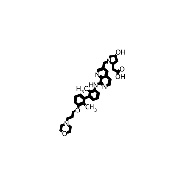 Cc1c(Nc2nccc3cc(CN4CC(O)CC4CC(=O)O)cnc23)cccc1-c1cccc(OCCCN2CCOCC2)c1C